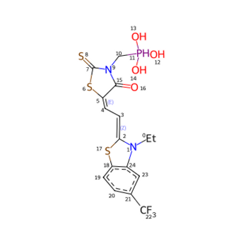 CCN1/C(=C/C=C2/SC(=S)N(C[PH](O)(O)O)C2=O)Sc2ccc(C(F)(F)F)cc21